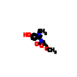 COC[C@@H]1CN(c2cn(C)c3cc(O)ccc23)C(=O)O1